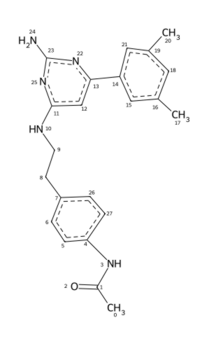 CC(=O)Nc1ccc(CCNc2cc(-c3cc(C)cc(C)c3)nc(N)n2)cc1